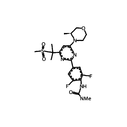 CNC(=O)Nc1c(F)cc(-c2nc(N3CCOC[C@@H]3C)cc(C(C)(C)S(C)(=O)=O)n2)cc1F